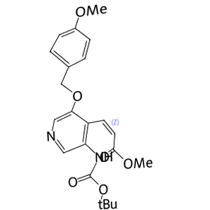 COC(=O)/C=C\c1c(NC(=O)OC(C)(C)C)cncc1OCc1ccc(OC)cc1